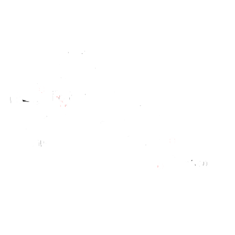 CCCCCCCCCC(=O)Oc1ccc(C2C=CC(C(=O)O)(c3ccccc3C(=O)O[C@H](C)CCC(C)C)C=C2)cc1